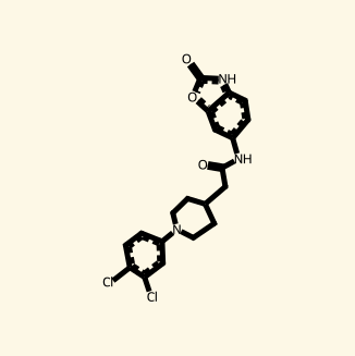 O=C(CC1CCN(c2ccc(Cl)c(Cl)c2)CC1)Nc1ccc2[nH]c(=O)oc2c1